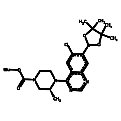 C[C@H]1CN(C(=O)OC(C)(C)C)CCN1c1ncnc2cc(B3OC(C)(C)C(C)(C)O3)c(Cl)cc12